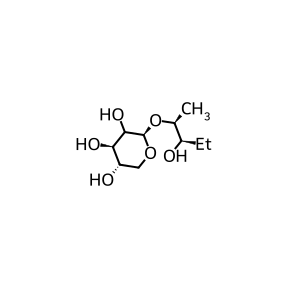 CC[C@@H](O)[C@H](C)O[C@H]1OC[C@H](O)[C@@H](O)C1O